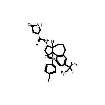 O=C1C[C@@H](C(=O)N[C@@H]2CC[C@@]3(S(=O)(=O)c4ccc(F)cc4)c4ccc(C(F)(C(F)(F)F)C(F)(F)F)cc4CCC[C@@H]23)CN1